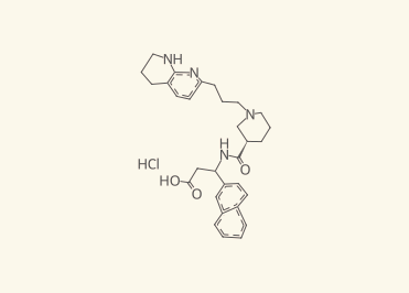 Cl.O=C(O)CC(NC(=O)[C@@H]1CCCN(CCCc2ccc3c(n2)NCCC3)C1)c1ccc2ccccc2c1